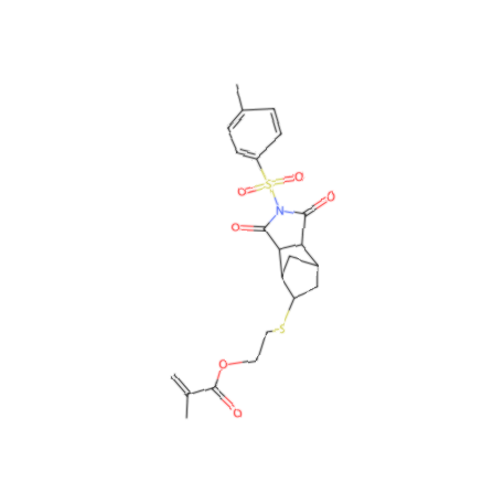 C=C(C)C(=O)OCCSC1CC2CC1C1C(=O)N(S(=O)(=O)c3ccc(C)cc3)C(=O)C21